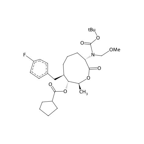 COCN(C(=O)OC(C)(C)C)[C@H]1CCC[C@H](Cc2ccc(F)cc2)[C@@H](OC(=O)C2CCCC2)[C@H](C)OC1=O